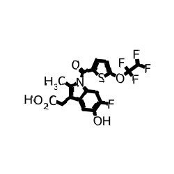 CC1=C(CC(=O)O)C2=CC(O)=C(F)CC2N1C(=O)c1ccc(OC(F)(F)C(F)F)s1